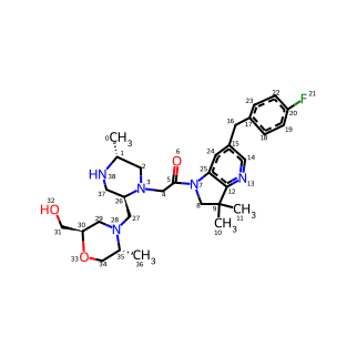 C[C@@H]1CN(CC(=O)N2CC(C)(C)c3ncc(Cc4ccc(F)cc4)cc32)[C@@H](CN2C[C@H](CO)OC[C@H]2C)CN1